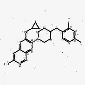 Oc1cc2nc(NC3CC3)c(N3CCC(Cc4ccc(F)cc4F)CC3)nc2cn1